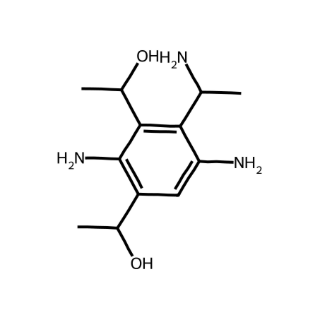 CC(N)c1c(N)cc(C(C)O)c(N)c1C(C)O